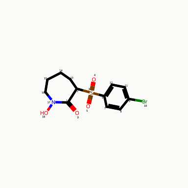 O=C1C(S(=O)(=O)c2ccc(Br)cc2)CCCCN1O